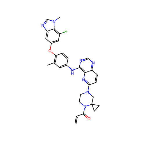 C=CC(=O)N1CCN(c2ccc3ncnc(Nc4ccc(Oc5cc(F)c6c(c5)ncn6C)c(C)c4)c3n2)CC12CC2